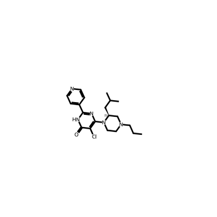 CCCN1CCN(c2nc(-c3ccncc3)[nH]c(=O)c2Cl)[C@@H](CC(C)C)C1